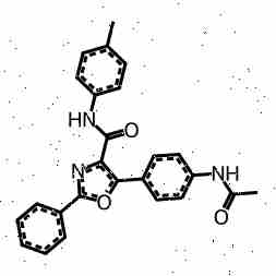 CC(=O)Nc1ccc(-c2oc(-c3ccccc3)nc2C(=O)Nc2ccc(C)cc2)cc1